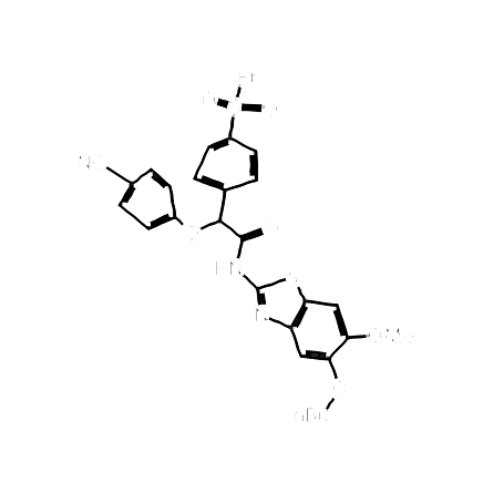 CCCCOc1cc2nc(NC(=O)C(Oc3ccc(C#N)cc3)c3ccc(S(=O)(=O)CC)cc3)sc2cc1OC